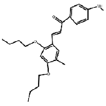 CCCCOc1cc(OCCCC)c(C=CC(=O)c2ccc(NC)cc2)cc1C